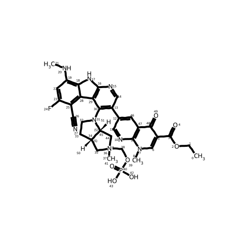 CCOC(=O)c1cn(C)c2ncc(-c3cnc4[nH]c5c(NC)cc(F)c(C#N)c5c4c3N3CC[C@H]4C[N+](C)(COP(=O)(O)O)C[C@H]43)cc2c1=O